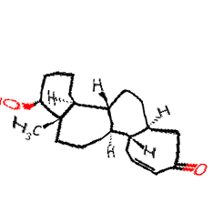 C[C@]12CC[C@@H]3[C@H]4C=CC(=O)C[C@@H]4CC[C@H]3[C@@H]1CC[C@@H]2O